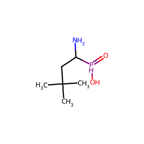 CC(C)(C)CC(N)[PH](=O)O